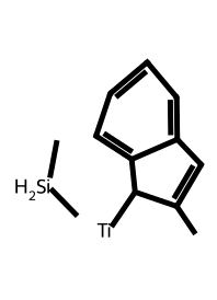 CC1=Cc2ccccc2[CH]1[Ti].C[SiH2]C